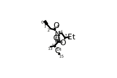 C#CCC(=O)NCC(CC)OC(=O)C(C)=C=C